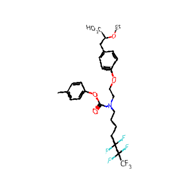 CCOC(Cc1ccc(OCCN(CCCCC(F)(F)C(F)(F)C(F)(F)F)C(=O)Oc2ccc(C)cc2)cc1)C(=O)O